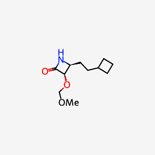 COCO[C@H]1C(=O)N[C@H]1CCC1CCC1